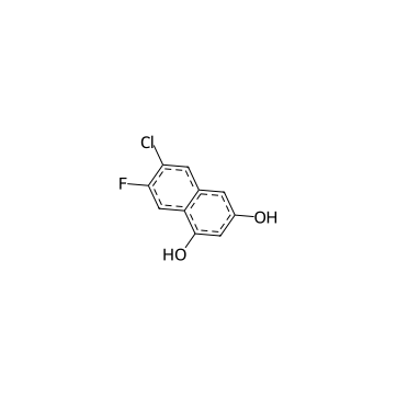 Oc1cc(O)c2cc(F)c(Cl)cc2c1